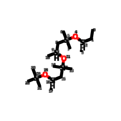 CC[SiH](C)O[Si](C)(C)C[SiH](C)O[Si](C)(C)C[SiH](C)O[Si](C)(C)C